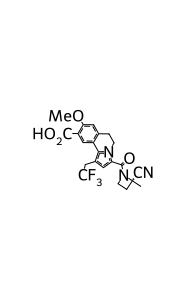 COc1cc2c(cc1C(=O)O)-c1c(CC(F)(F)F)cc(C(=O)N3CC[C@]3(C)C#N)n1CC2